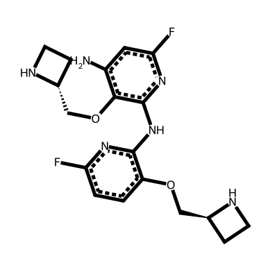 Nc1cc(F)nc(Nc2nc(F)ccc2OC[C@@H]2CCN2)c1OC[C@H]1CCN1